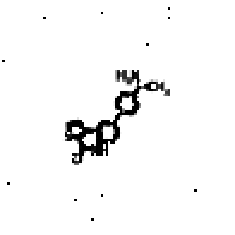 CC(N)c1ccc(-c2ccc3[nH]c(=O)c4sccc4c3c2)cc1